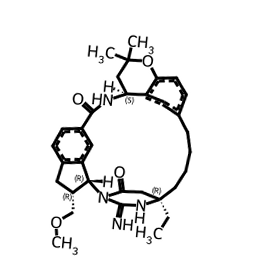 CC[C@]12CCCCc3ccc4c(c3)[C@H](CC(C)(C)O4)NC(=O)c3ccc4c(c3)[C@@H]([C@H](COC)C4)N(C(=N)N1)C(=O)C2